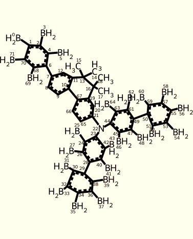 Bc1c(B)c(B)c(-c2ccc3c(c2)C(C)(C)C(C)(C)c2cc(N(c4c(B)c(B)c(-c5c(B)c(B)c(B)c(B)c5B)c(B)c4B)c4c(B)c(B)c(-c5c(B)c(B)c(B)c(B)c5B)c(B)c4B)ccc2-3)c(B)c1B